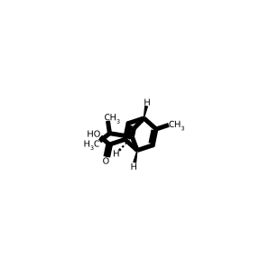 CC1=C[C@@H]2C(C(=O)O)=C[C@H]1C[C@@H]2C(C)C